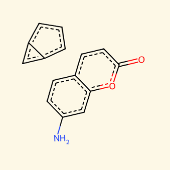 Nc1ccc2ccc(=O)oc2c1.c1cc2cc-2c1